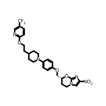 O=[N+]([O-])c1cn2c(n1)O[C@@H](COc1ccc(N3CCC(CCOc4ccc(C(F)(F)F)cn4)CC3)cc1)CC2